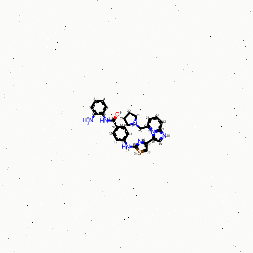 Nc1ccccc1NC(=O)c1ccc(Nc2nc(-c3cnc4cccc(CN5CCCC5)n34)cs2)cc1